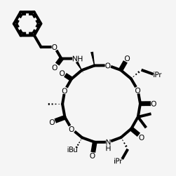 CCC(C)[C@@H]1OC(=O)[C@H](C)OC(=O)[C@@H](NC(=O)OCc2ccccc2)[C@@H](C)OC(=O)[C@H](CC(C)C)OC(=O)C(C)(C)C(=O)[C@H](CC(C)C)NC1=O